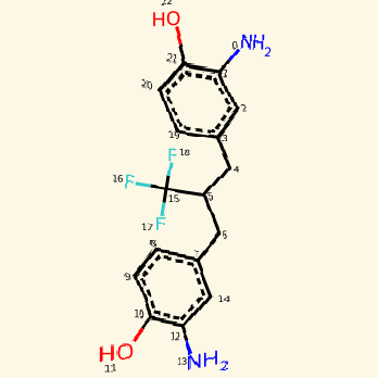 Nc1cc(CC(Cc2ccc(O)c(N)c2)C(F)(F)F)ccc1O